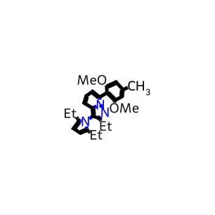 CCc1nn2c(-c3c(OC)cc(C)cc3OC)cccc2c1-n1c(CC)ccc1CC